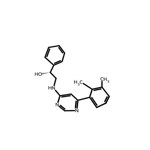 Cc1cccc(-c2cc(NC[C@H](O)c3ccccc3)ncn2)c1C